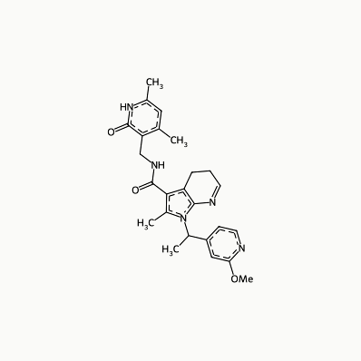 COc1cc(C(C)n2c(C)c(C(=O)NCc3c(C)cc(C)[nH]c3=O)c3c2N=CCC3)ccn1